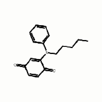 CCCCCN(C1=CC(=O)C=CC1=O)c1ccccc1